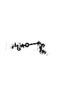 COC(=O)N[C@H](C(=O)N1CCC[C@H]1c1ncc(-c2ccc(C#CC#Cc3cnc([C@@H]4CCCN4C(=O)[C@H](NC(=O)OC)C(C)C)[nH]3)cc2)[nH]1)C(C)C